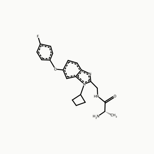 C[C@H](N)C(=O)NCc1nc2ccc(Oc3ccc(F)cc3)cc2n1C1CCC1